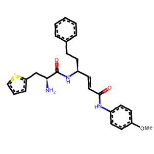 COc1ccc(NC(=O)/C=C/[C@H](CCc2ccccc2)NC(=O)[C@@H](N)Cc2cccs2)cc1